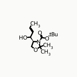 C/C=C/C(O)[C@@H]1COC(C)(C)N1C(=O)OC(C)(C)C